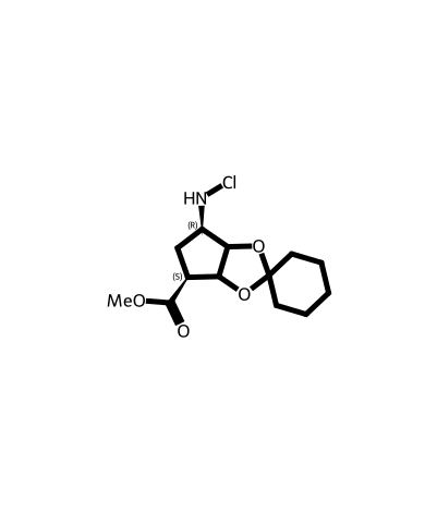 COC(=O)[C@H]1C[C@@H](NCl)C2OC3(CCCCC3)OC21